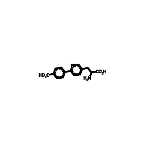 NC(Cc1ccc(-c2ccc(C(=O)O)cc2)nc1)C(=O)O